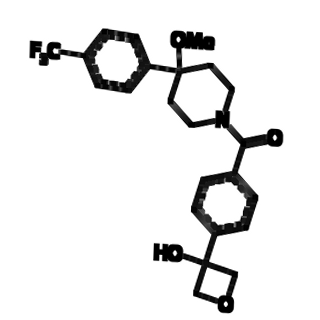 COC1(c2ccc(C(F)(F)F)cc2)CCN(C(=O)c2ccc(C3(O)COC3)cc2)CC1